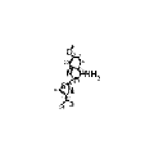 COc1ccc2c(N)cc(-c3nc(C(C)C)cs3)nc2c1